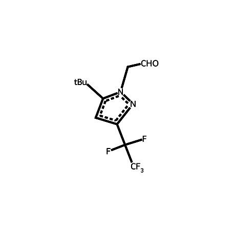 CC(C)(C)c1cc(C(F)(F)C(F)(F)F)nn1CC=O